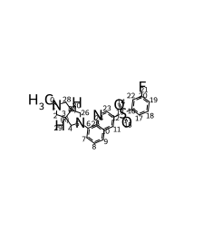 CN1C[C@@H]2CN(c3cccc4cc(S(=O)(=O)c5cccc(F)c5)cnc34)C[C@@H]2C1